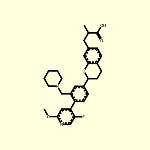 COc1cc(-c2ccc(C3CCc4ccc(CC(C)C(=O)O)cc4O3)cc2CN2CCCCC2)c(F)cn1